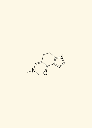 CN(C)/C=C1/CCc2sccc2C1=O